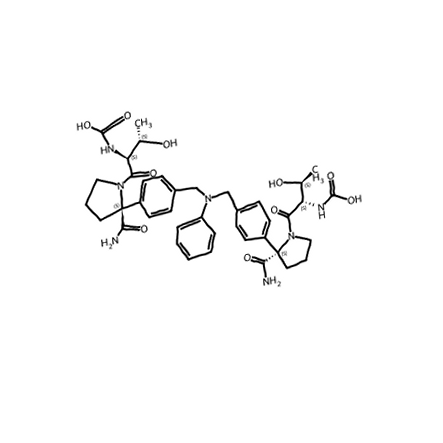 C[C@H](O)[C@H](NC(=O)O)C(=O)N1CCC[C@@]1(C(N)=O)c1ccc(CN(Cc2ccc([C@]3(C(N)=O)CCCN3C(=O)[C@@H](NC(=O)O)[C@H](C)O)cc2)c2ccccc2)cc1